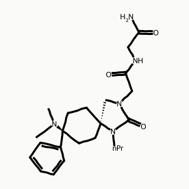 CCCN1C(=O)N(CC(=O)NCC(N)=O)C[C@]12CC[C@](c1ccccc1)(N(C)C)CC2